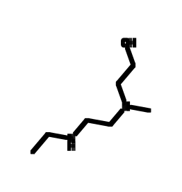 CCNCCN(C)CCO